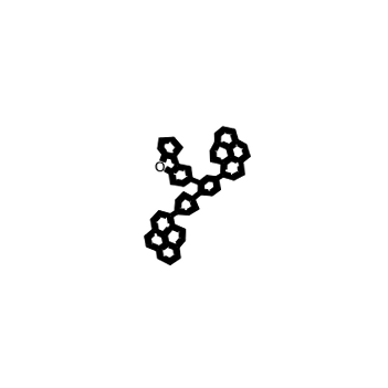 c1cc2ccc3ccc(-c4ccc(-c5ccc(-c6ccc7ccc8cccc9ccc6c7c89)cc5-c5ccc6oc7ccccc7c6c5)cc4)c4ccc(c1)c2c34